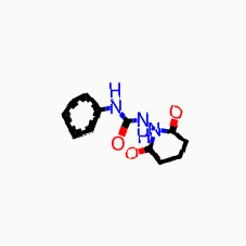 O=C(Nc1ccccc1)NN1C(=O)CCCC1=O